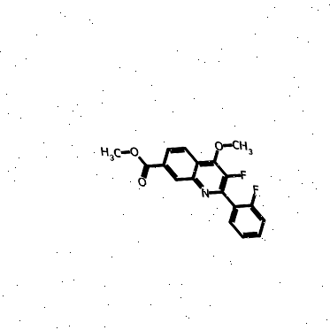 COC(=O)c1ccc2c(OC)c(F)c(-c3ccccc3F)nc2c1